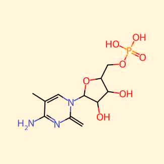 C=C1N=C(N)C(C)=CN1C1OC(COP(=O)(O)O)C(O)C1O